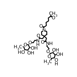 CC(=O)CCCCC(=O)N1CCC(CC(=O)NCCO[C@@H]2O[C@@H](C)[C@@H](O)[C@@H](O)[C@@H]2O)(CC(=O)NCCO[C@@H]2OC(C)C(O)C(O)[C@@H]2O)CC1